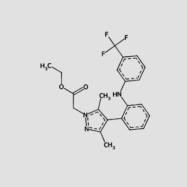 CCOC(=O)Cn1nc(C)c(-c2ccccc2Nc2cccc(C(F)(F)F)c2)c1C